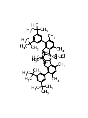 Cc1cc(C)c2c(c1-c1cc(C(C)(C)C)cc(C(C)(C)C)c1)C=C(C(C)C)[CH]2[Zr+2]1([CH]2C(C(C)C)=Cc3c(-c4cc(C(C)(C)C)cc(C(C)(C)C)c4)c(C)cc(C)c32)[CH2][CH2]1.[Cl-].[Cl-]